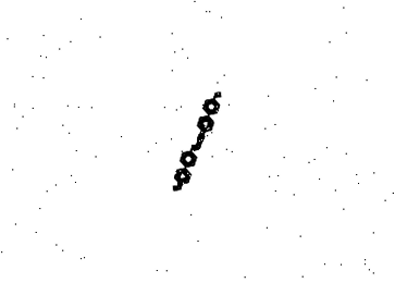 CCc1ccc([C@H]2CC[C@H](/C=C/C#Cc3ccc([C@H]4CC[C@H](CC)CC4)cc3)CC2)cc1